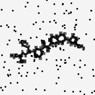 CCCN(CCN(C)O)c1cc(C(=O)Nc2cc3cc(-c4cnn(C)c4)ccc3cn2)ccn1